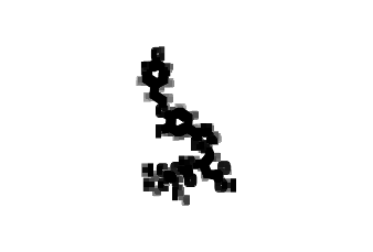 CC(C)(C)OC(=O)NC(CC(=O)O)Cn1nnc(-c2ccc(OCCc3cnc(Cl)nc3)c(F)c2)n1